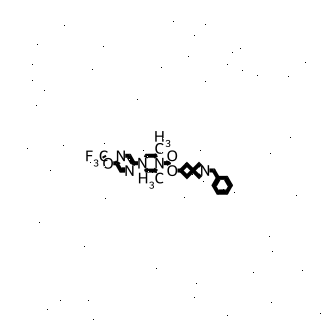 C[C@@H]1CN(c2cnc(OC(F)(F)F)cn2)C[C@@H](C)N1C(=O)OC1CC2(C1)CN(Cc1ccccc1)C2